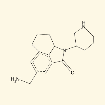 NCc1cc2c3c(c1)C(=O)N(C1CCCNC1)C3CCC2